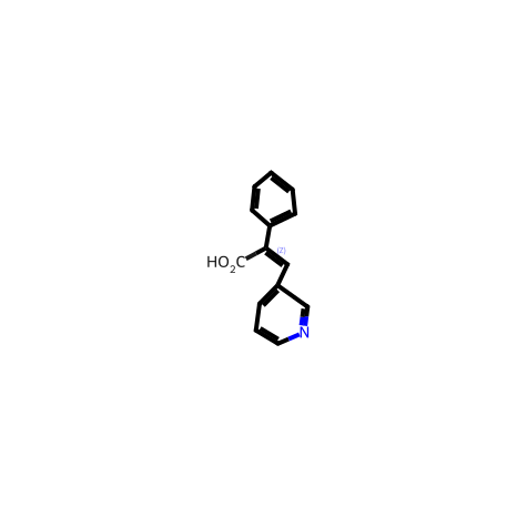 O=C(O)/C(=C\c1cccnc1)c1ccccc1